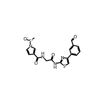 C[S+]([O-])n1ccc(C(=O)NCC(=O)Nc2nc(-c3cccc(C=O)c3)cs2)c1